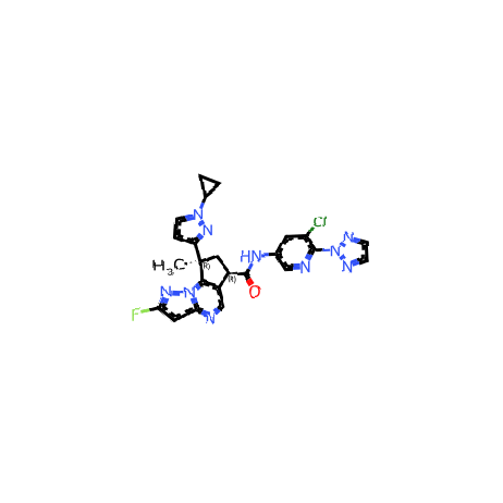 C[C@]1(c2ccn(C3CC3)n2)C[C@@H](C(=O)Nc2cnc(-n3nccn3)c(Cl)c2)c2cnc3cc(F)nn3c21